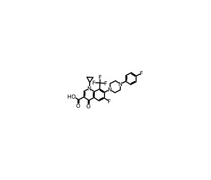 O=C(O)c1cn(C2CC2)c2c(C(F)(F)F)c(N3CCN(c4ccc(F)cc4)CC3)c(F)cc2c1=O